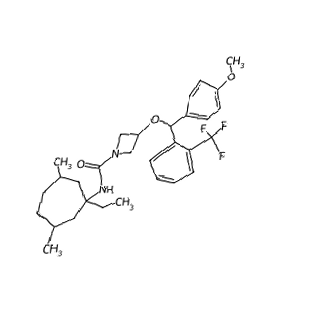 CCC1(NC(=O)N2CC(OC(c3ccc(OC)cc3)c3ccccc3C(F)(F)F)C2)CC(C)CCC(C)C1